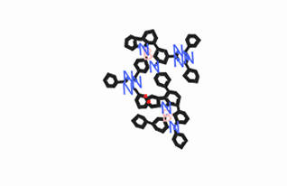 c1ccc(-c2ccc3c(c2)B2c4c(cccc4N3c3ccccc3)-c3ccc(-c4ccc(N5c6cc(-c7nc(-c8ccccc8)nc(-c8ccccc8)n7)ccc6B6c7c(cc(-c8nc(-c9ccccc9)nc(-c9ccccc9)n8)cc75)-c5cccc7c8ccccc8n6c57)cc4)c4c5ccccc5n2c34)cc1